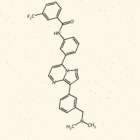 CN(C)Cc1cccc(-c2cnn3c(-c4cccc(NC(=O)c5cccc(C(F)(F)F)c5)c4)ccnc23)c1